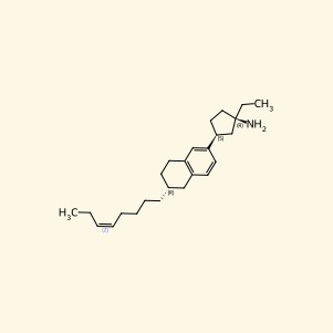 CC/C=C\CCCC[C@@H]1CCc2cc([C@H]3CC[C@](N)(CC)C3)ccc2C1